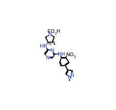 C[C@@H]1CN(C(=O)O)C[C@@H]1Nc1cncc(Nc2ccc(-c3cnn(C)c3)cc2[N+](=O)[O-])n1